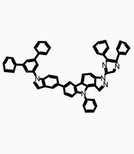 c1ccc(-c2cc(-c3ccccc3)cc(-n3ccc4cc(-c5ccc6c(c5)c5ccc7c(cnn7-c7cnc(-c8ccccc8)c(-c8ccccc8)n7)c5n6-c5ccccc5)ccc43)c2)cc1